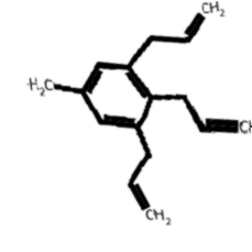 [CH2]c1cc(CC=C)c(CC=C)c(CC=C)c1